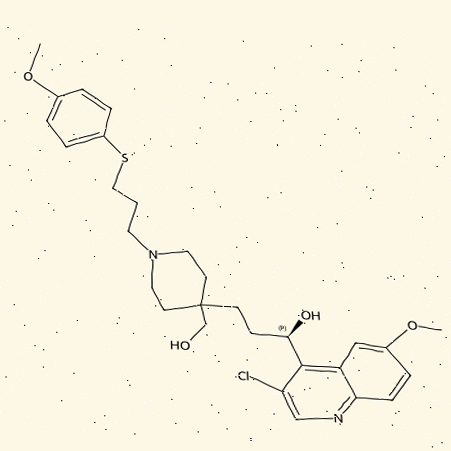 COc1ccc(SCCCN2CCC(CO)(CC[C@@H](O)c3c(Cl)cnc4ccc(OC)cc34)CC2)cc1